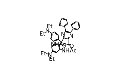 CCN(CC)c1ccc(C2(c3ccc(N(CC)CC)cc3NC(C)=O)OC(=O)c3nc(-c4ccccc4)c(-c4ccccc4)nc32)c(NC(C)=O)c1